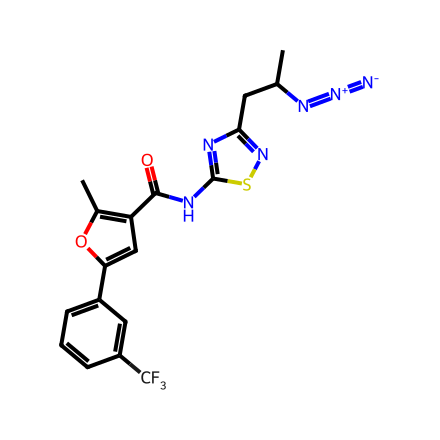 Cc1oc(-c2cccc(C(F)(F)F)c2)cc1C(=O)Nc1nc(CC(C)N=[N+]=[N-])ns1